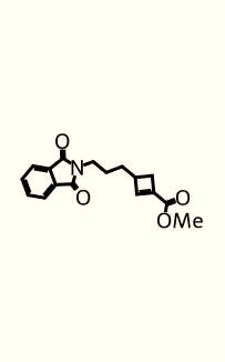 COC(=O)C1=CC(CCCN2C(=O)c3ccccc3C2=O)C1